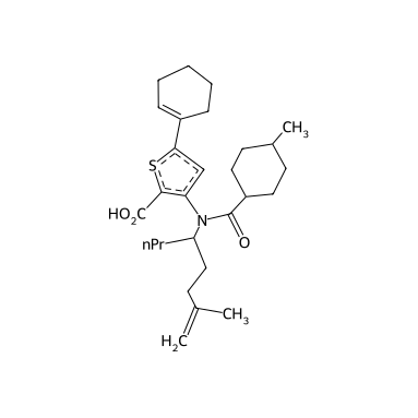 C=C(C)CCC(CCC)N(C(=O)C1CCC(C)CC1)c1cc(C2=CCCCC2)sc1C(=O)O